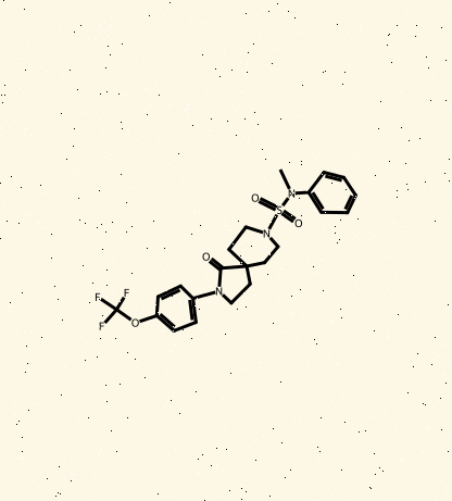 CN(c1ccccc1)S(=O)(=O)N1CCC2(CCN(c3ccc(OC(F)(F)F)cc3)C2=O)CC1